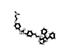 CN(C)CCOc1ccc(NC(=O)Nc2ccc(CCNc3ncnc4oc(-c5ccccc5)c(-c5ccccc5)c34)cc2)cc1